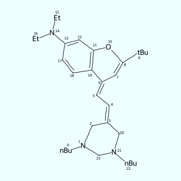 CCCCN1CC(=CC=C2C=C(C(C)(C)C)Oc3cc(N(CC)CC)ccc32)CN(CCCC)C1